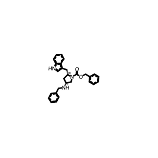 O=C(OCc1ccccc1)N1C[C@@H](NCc2ccccc2)C[C@H]1Cc1c[nH]c2ccccc12